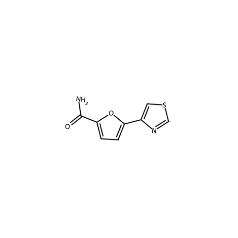 NC(=O)c1ccc(-c2cs[c]n2)o1